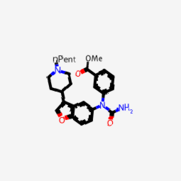 CCCCCN1CCC(c2coc3ccc(N(C(N)=O)c4cccc(C(=O)OC)c4)cc23)CC1